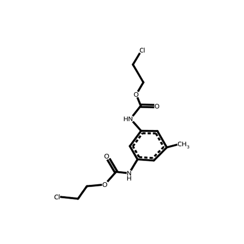 Cc1cc(NC(=O)OCCCl)cc(NC(=O)OCCCl)c1